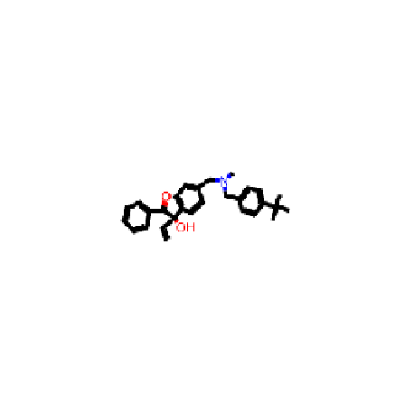 C=CC(O)(C(=O)c1ccccc1)c1ccc(CN(C)Cc2ccc(C(C)(C)C)cc2)cc1